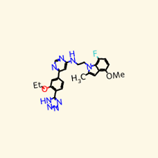 CCOc1cc(-c2cc(NCCn3c(C)cc4c(OC)ccc(F)c43)ncn2)ccc1-c1nnn[nH]1